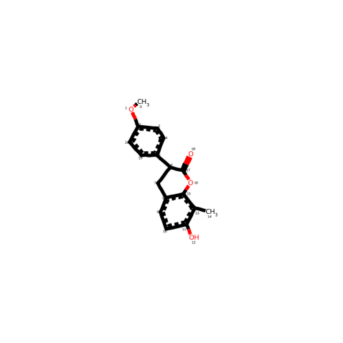 COc1ccc(C2Cc3ccc(O)c(C)c3OC2=O)cc1